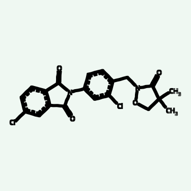 CC1(C)CON(Cc2ccc(N3C(=O)c4ccc(Cl)cc4C3=O)cc2Cl)C1=O